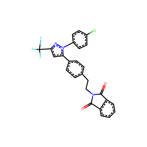 O=C1c2ccccc2C(=O)N1CCc1ccc(-c2cc(C(F)(F)F)nn2-c2ccc(Cl)cc2)cc1